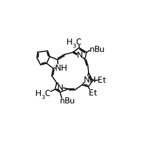 CCCCC1=C(C)c2cc3[nH]c(cc4nc(cc5[nH]c(cc1n2)c(CC)c5CC)C(CCCC)=C4C)c1ccccc31